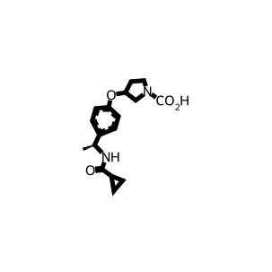 C[C@H](NC(=O)C1CC1)c1ccc(OC2CCN(C(=O)O)C2)cc1